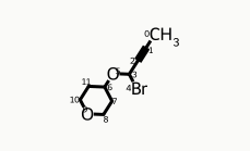 CC#CC(Br)OC1CCOCC1